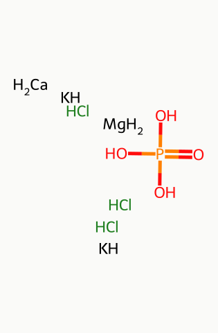 Cl.Cl.Cl.O=P(O)(O)O.[CaH2].[KH].[KH].[MgH2]